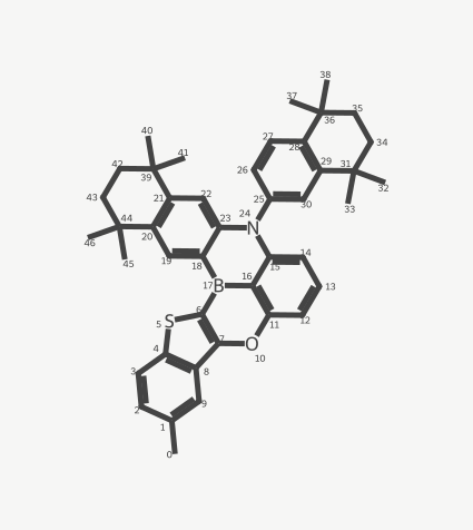 Cc1ccc2sc3c(c2c1)Oc1cccc2c1B3c1cc3c(cc1N2c1ccc2c(c1)C(C)(C)CCC2(C)C)C(C)(C)CCC3(C)C